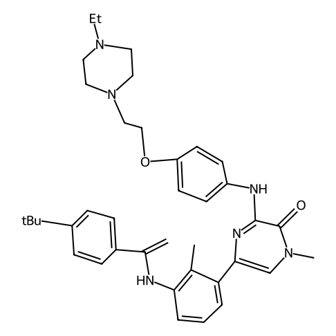 C=C(Nc1cccc(-c2cn(C)c(=O)c(Nc3ccc(OCCN4CCN(CC)CC4)cc3)n2)c1C)c1ccc(C(C)(C)C)cc1